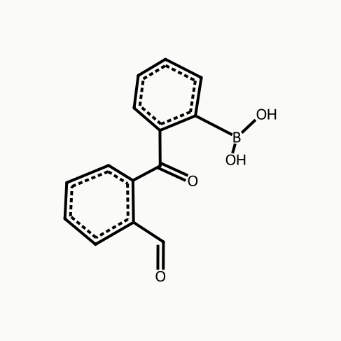 O=Cc1ccccc1C(=O)c1ccccc1B(O)O